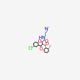 CN(C)CCCNC(=O)c1oc2ccc(Cl)cc2c(=O)c1C(=O)c1ccccc1F